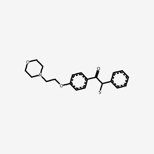 O=C(c1ccc(OCCN2CCOCC2)cc1)C([S])c1ccccc1